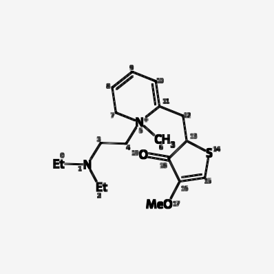 CCN(CC)CC[N+]1(C)CC=CC=C1CC1SC=C(OC)C1=O